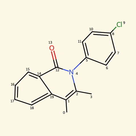 Cc1c(C)n(-c2ccc(Cl)cc2)c(=O)c2ccccc12